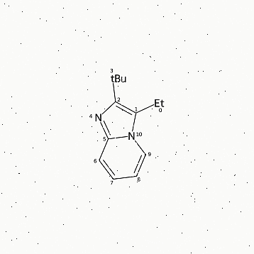 CCc1c(C(C)(C)C)nc2ccccn12